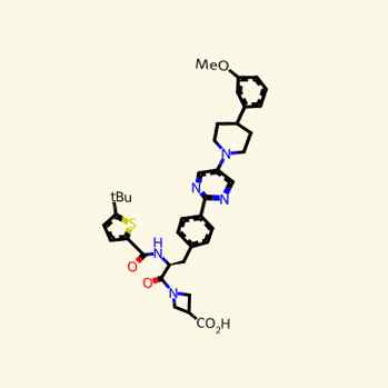 COc1cccc(C2CCN(c3cnc(-c4ccc(C[C@H](NC(=O)c5ccc(C(C)(C)C)s5)C(=O)N5CC(C(=O)O)C5)cc4)nc3)CC2)c1